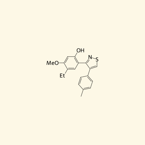 CCc1cc(-c2nscc2-c2ccc(C)cc2)c(O)cc1OC